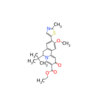 CCOC(=O)c1cn2c(cc1=O)-c1cc(OC)c(-c3cnc(C)s3)cc1CC2C(C)(C)C